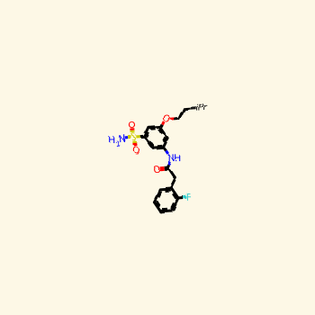 CC(C)CCOc1cc(NC(=O)Cc2ccccc2F)cc(S(N)(=O)=O)c1